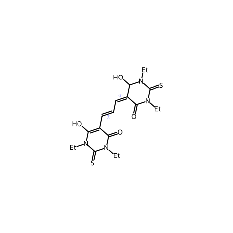 CCN1C(=O)/C(=C\C=C\c2c(O)n(CC)c(=S)n(CC)c2=O)C(O)N(CC)C1=S